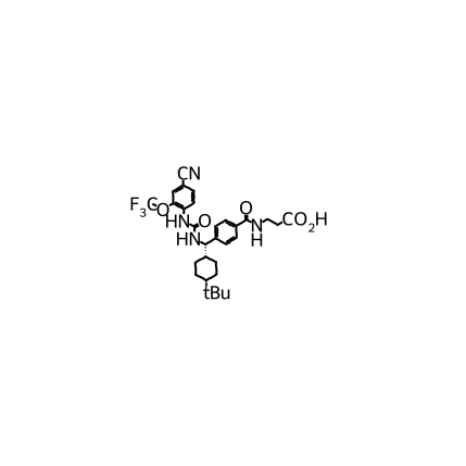 CC(C)(C)[C@H]1CC[C@H](C(NC(=O)Nc2ccc(C#N)cc2OC(F)(F)F)c2ccc(C(=O)NCCC(=O)O)cc2)CC1